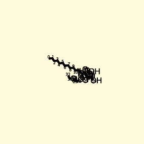 CCCCCCCCCCCCOC(=O)C(CC(=O)O)(S(=O)(=O)O)S(=O)(=O)O.CCOCC